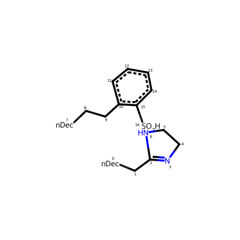 CCCCCCCCCCCC1=NCCN1.CCCCCCCCCCCCc1ccccc1S(=O)(=O)O